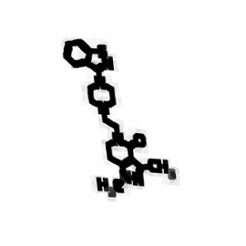 Cc1nn(C)c2c1C(=O)N(CCN1CCN(c3nsc4ccccc34)CC1)CC2